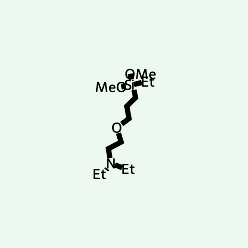 CCN(CC)CCOCCC[Si](CC)(OC)OC